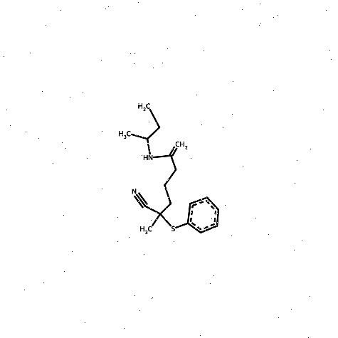 C=C(CCCC(C)(C#N)Sc1ccccc1)NC(C)CC